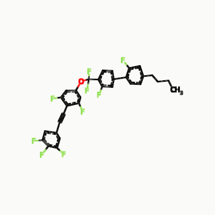 CCCCc1ccc(-c2ccc(C(F)(F)Oc3cc(F)c(C#Cc4cc(F)c(F)c(F)c4)c(F)c3)c(F)c2)c(F)c1